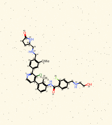 COc1cc(-c2nccc(-c3cccc(NC(=O)c4ccc(CNCCO)cc4F)c3C)c2Cl)ccc1CNC[C@H]1CCC(=O)N1